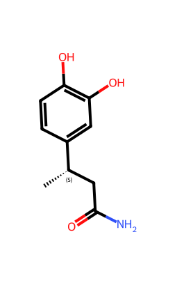 C[C@@H](CC(N)=O)c1ccc(O)c(O)c1